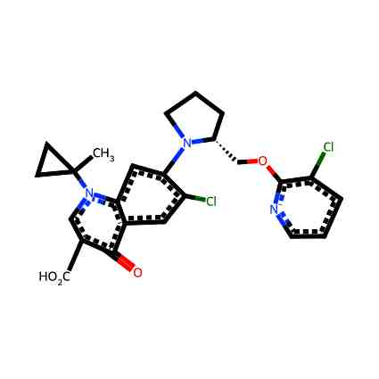 CC1(n2cc(C(=O)O)c(=O)c3cc(Cl)c(N4CCC[C@@H]4COc4ncccc4Cl)cc32)CC1